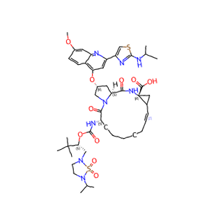 COc1ccc2c(O[C@@H]3C[C@H]4C(=O)N[C@]5(C(=O)O)CC5/C=C\CCCCC[C@H](NC(=O)O[C@H](CN5CCN(C(C)C)S5(=O)=O)C(C)(C)C)C(=O)N4C3)cc(-c3csc(NC(C)C)n3)nc2c1